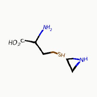 C1CN1.NC(CS)C(=O)O